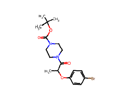 CC(Oc1ccc(Br)cc1)C(=O)N1CCN(C(=O)OC(C)(C)C)CC1